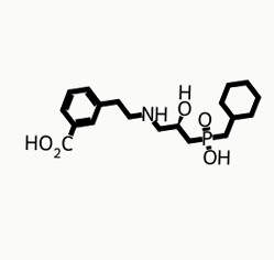 O=C(O)c1cccc(CCNC[C@@H](O)CP(=O)(O)CC2CCCCC2)c1